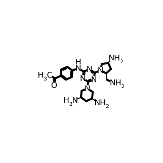 CC(=O)c1ccc(Nc2nc(N3C[C@H](N)C[C@H](N)C3)nc(N3C[C@@H](N)C[C@H]3CN)n2)cc1